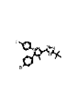 Cc1c(-c2nnc(C(C)(C)C)o2)nn(-c2ccc(Cl)cc2)c1-c1ccc(Br)cc1